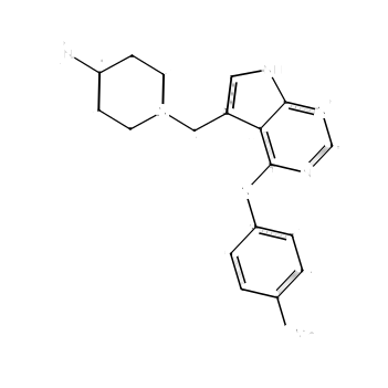 COc1ccc(Nc2ncnc3[nH]cc(CN4CCC(N)CC4)c23)cc1